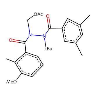 COc1cccc(C(=O)N(COC(C)=O)N(C(=O)c2cc(C)cc(C)c2)C(C)(C)C)c1C